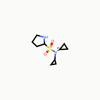 O=S(=O)(C1CCCN1)N(C1CC1)[C@@H]1[C]C1